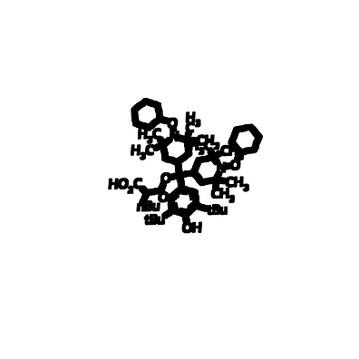 CCCCC(C(=O)O)C(=O)OC(c1cc(C(C)(C)C)c(O)c(C(C)(C)C)c1)(C1CC(C)(C)N(OC2CCCCC2)C(C)(C)C1)C1CC(C)(C)N(OC2CCCCC2)C(C)(C)C1